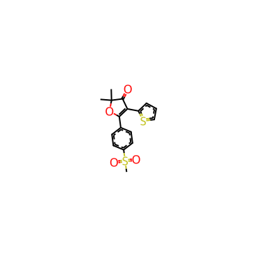 CC1(C)OC(c2ccc(S(C)(=O)=O)cc2)=C(c2cccs2)C1=O